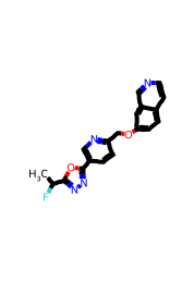 CC(F)c1nnc(-c2ccc(COc3ccc4ccncc4c3)nc2)o1